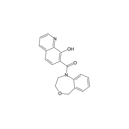 O=C(c1ccc2cccnc2c1O)N1CCOCc2ccccc21